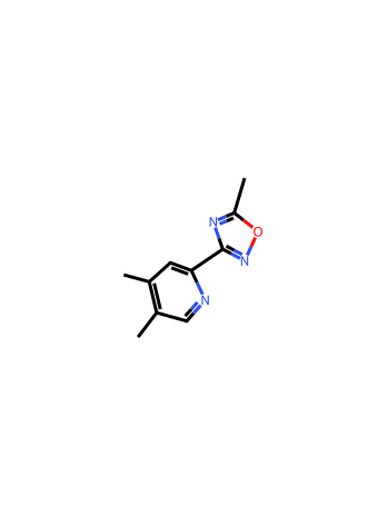 Cc1nc(-c2cc(C)c(C)cn2)no1